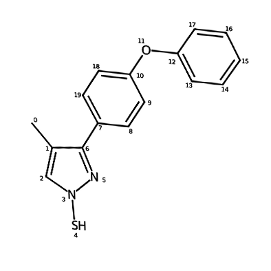 Cc1cn(S)nc1-c1ccc(Oc2ccccc2)cc1